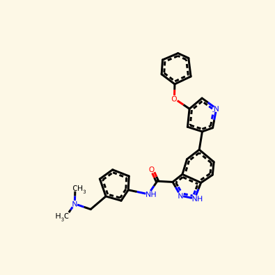 CN(C)Cc1cccc(NC(=O)c2n[nH]c3ccc(-c4cncc(Oc5ccccc5)c4)cc23)c1